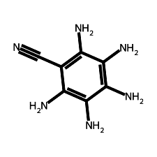 N#Cc1c(N)c(N)c(N)c(N)c1N